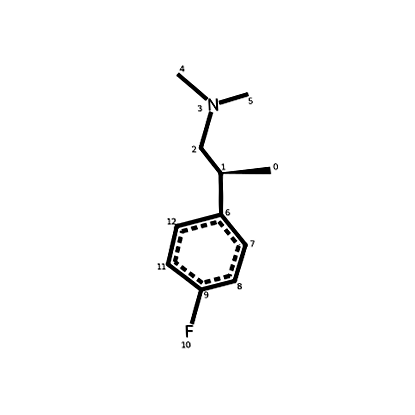 C[C@H](CN(C)C)c1ccc(F)cc1